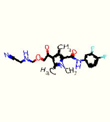 Cc1c(C(=O)COCNCC#N)c(C)n(C)c1C(=O)Nc1ccc(F)c(F)c1